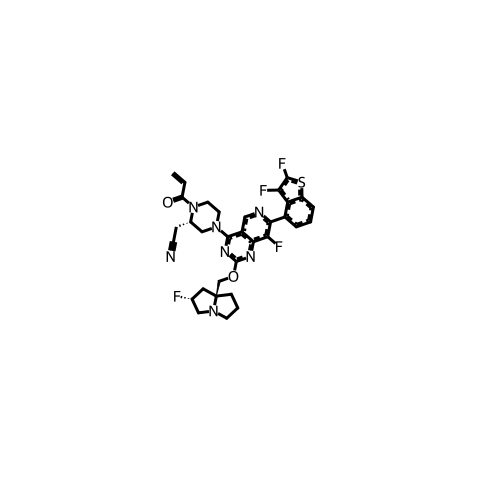 C=CC(=O)N1CCN(c2nc(OC[C@@]34CCCN3C[C@H](F)C4)nc3c(F)c(-c4cccc5sc(F)c(F)c45)ncc23)C[C@@H]1CC#N